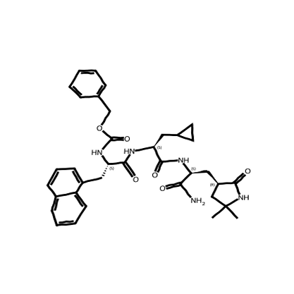 CC1(C)C[C@@H](C[C@H](NC(=O)[C@H](CC2CC2)NC(=O)[C@H](Cc2cccc3ccccc23)NC(=O)OCc2ccccc2)C(N)=O)C(=O)N1